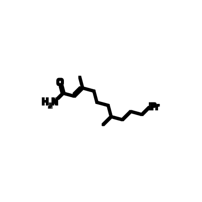 CC(=CC(N)=O)CCCC(C)CCCC(C)C